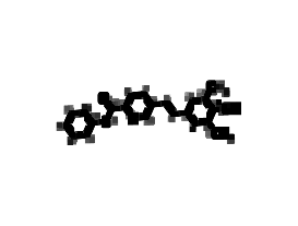 Cc1cc(/C=C/c2ccc(C(=O)Sc3ccccc3)nc2)cc(C)c1O